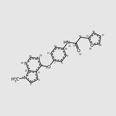 Cn1ccc2c(Oc3ccc(NC(=O)Cc4ccco4)cc3)ncnc21